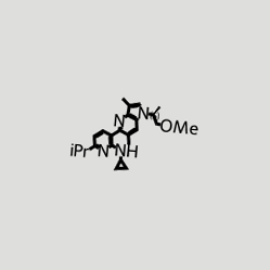 COC[C@H](C)n1cc(C)c2nc(-c3ccc(C(C)C)nc3NC3CC3)c(C)cc21